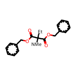 CCC(NC)(C(=O)OCc1ccccc1)C(=O)OCc1ccccc1